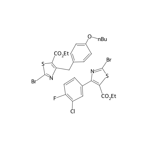 CCCCOc1ccc(Cc2nc(Br)sc2C(=O)OCC)cc1.CCOC(=O)c1sc(Br)nc1-c1ccc(F)c(Cl)c1